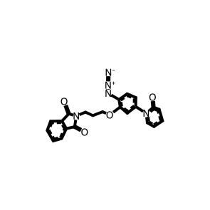 [N-]=[N+]=Nc1ccc(-n2ccccc2=O)cc1OCCCN1C(=O)c2ccccc2C1=O